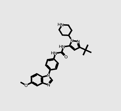 COc1ccc2c(c1)ncn2-c1ccc(NC(=O)Nc2cc(C(C)(C)C)nn2C2CCNCC2)cc1